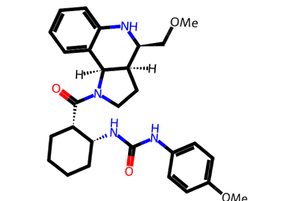 COC[C@@H]1Nc2ccccc2[C@H]2[C@@H]1CCN2C(=O)[C@H]1CCCC[C@H]1NC(=O)Nc1ccc(OC)cc1